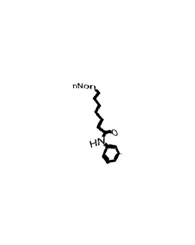 CCCCCCCCCCCCCCCC(=O)Nc1c[c]ccc1